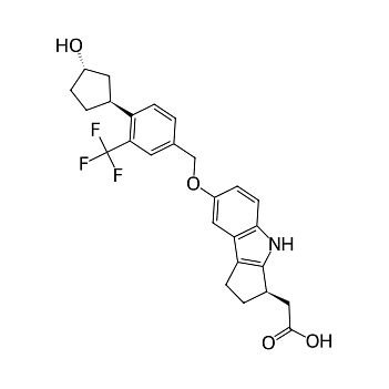 O=C(O)C[C@H]1CCc2c1[nH]c1ccc(OCc3ccc([C@H]4CC[C@H](O)C4)c(C(F)(F)F)c3)cc21